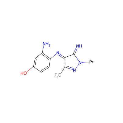 CC(C)N1N=C(C(F)(F)F)C(=Nc2ccc(O)cc2N)C1=N